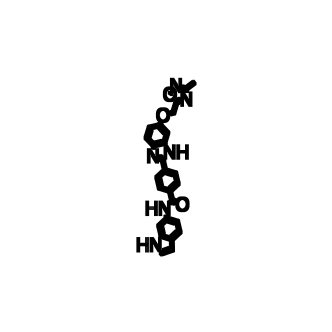 Cc1noc(COc2ccc3nc(-c4ccc(C(=O)Nc5ccc6cc[nH]c6c5)cc4)[nH]c3c2)n1